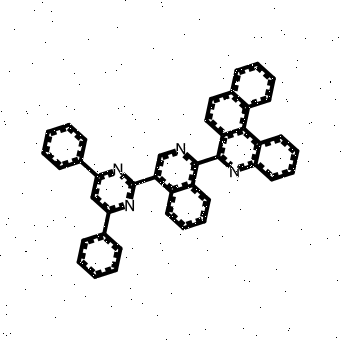 c1ccc(-c2cc(-c3ccccc3)nc(-c3cnc(-c4nc5ccccc5c5c4ccc4ccccc45)c4ccccc34)n2)cc1